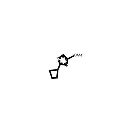 COc1csc(C2CCC2)n1